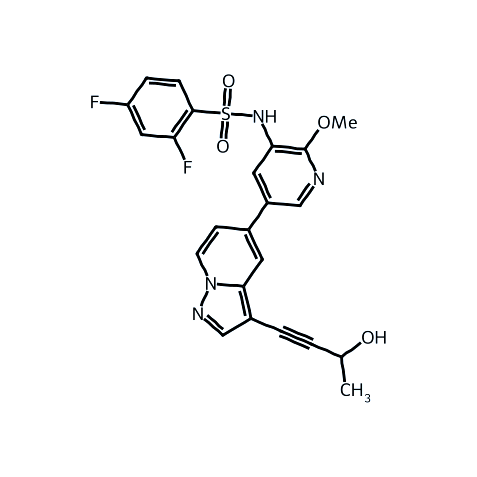 COc1ncc(-c2ccn3ncc(C#CC(C)O)c3c2)cc1NS(=O)(=O)c1ccc(F)cc1F